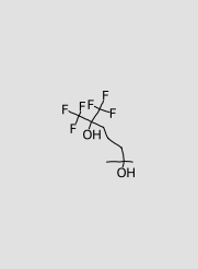 CC(C)(O)CCCC(O)(C(F)(F)F)C(F)(F)F